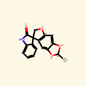 O=C1Nc2ccccc2C12COc1cc3c(cc12)OC(C(F)(F)F)O3